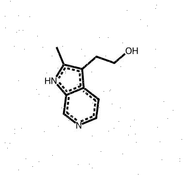 Cc1[nH]c2cnccc2c1CCO